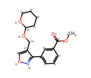 COC(=O)c1cccc(-c2nocc2COC2CCCCO2)c1